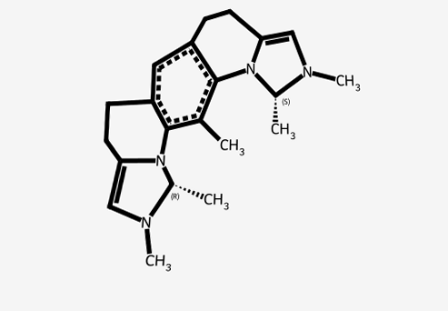 Cc1c2c(cc3c1N1C(=CN(C)[C@@H]1C)CC3)CCC1=CN(C)[C@@H](C)N12